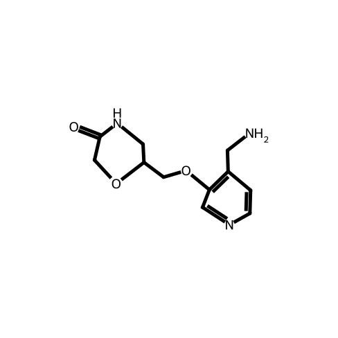 NCc1ccncc1OCC1CNC(=O)CO1